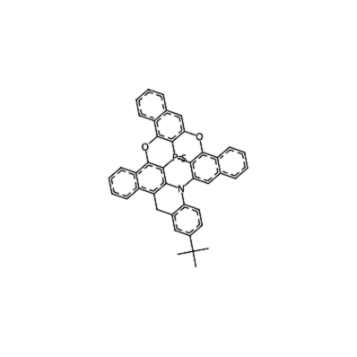 CC(C)(C)c1ccc2c(c1)Cc1c3c4c(c5ccccc15)Oc1c5c(cc6ccccc16)Oc1c(c(cc6ccccc16)N23)P54=S